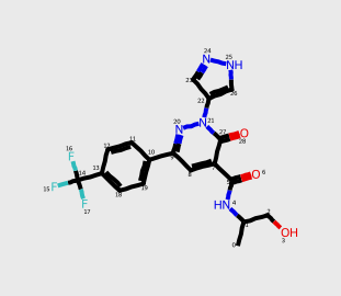 CC(CO)NC(=O)c1cc(-c2ccc(C(F)(F)F)cc2)nn(-c2cn[nH]c2)c1=O